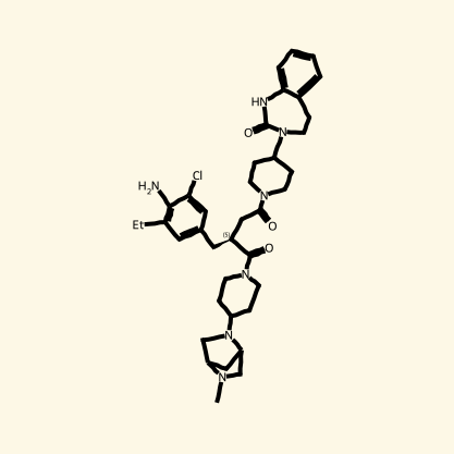 CCc1cc(C[C@@H](CC(=O)N2CCC(N3CCc4ccccc4NC3=O)CC2)C(=O)N2CCC(N3CC4CC3CN4C)CC2)cc(Cl)c1N